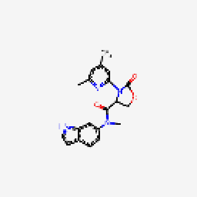 Cc1cc(C(F)(F)F)cc(N2C(=O)OCC2C(=O)N(C)c2ccc3cc[nH]c3c2)n1